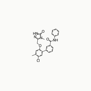 Cc1cc(OCc2n[nH]c(=O)n2C)c(-c2cccc(C(=O)Nc3ccccc3)c2)cc1Cl